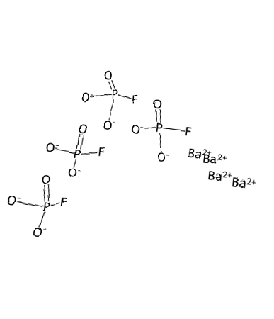 O=P([O-])([O-])F.O=P([O-])([O-])F.O=P([O-])([O-])F.O=P([O-])([O-])F.[Ba+2].[Ba+2].[Ba+2].[Ba+2]